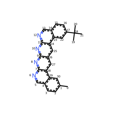 Cc1ccc2cnc3nc4nc5ncc6ccc(C(C)(C)C)cc6c5cc4cc3c2c1